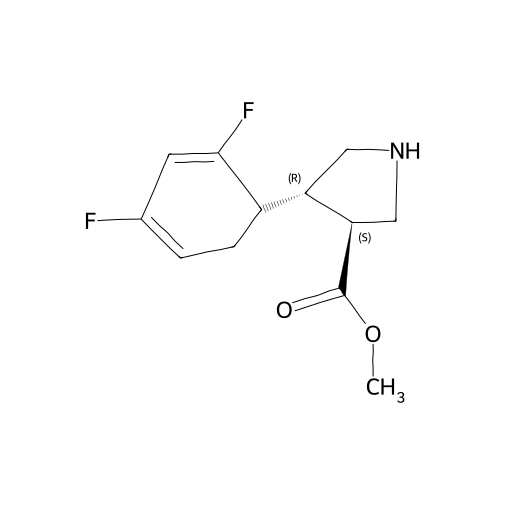 COC(=O)[C@@H]1CNC[C@H]1C1CC=C(F)C=C1F